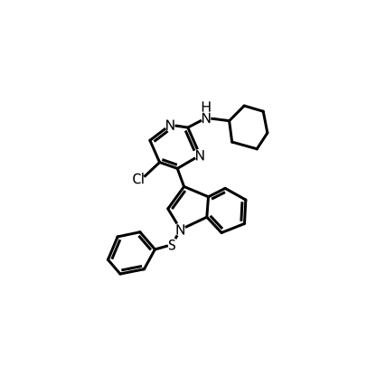 Clc1cnc(NC2CCCCC2)nc1-c1cn(Sc2ccccc2)c2ccccc12